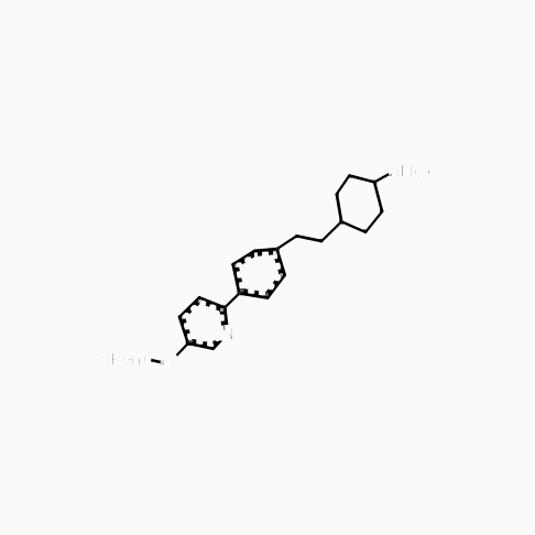 CCCCCCC1CCC(CCc2ccc(-c3ccc(OCCCCC)cn3)cc2)CC1